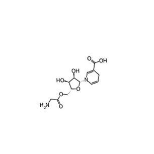 NCC(=O)OC[C@H]1O[C@@H](N2C=CCC(C(=O)O)=C2)[C@H](O)[C@@H]1O